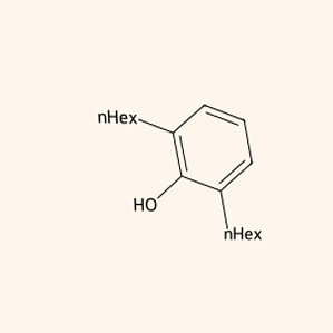 CCCCCCc1cccc(CCCCCC)c1O